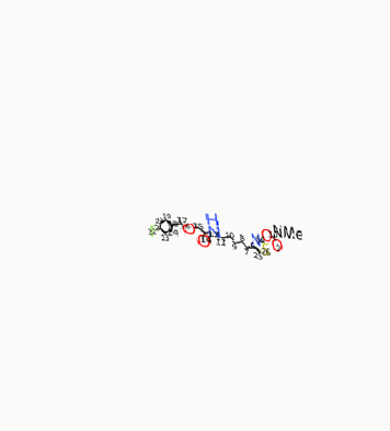 CNC(=O)Oc1nc(CCCCCNC(=O)COCc2ccc(F)cc2)cs1